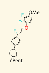 CCCCCC1CCC(c2ccc(C(F)CCOc3ccc(OC)c(F)c3F)cc2)CC1